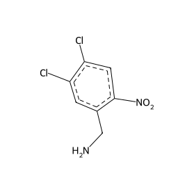 NCc1cc(Cl)c(Cl)cc1[N+](=O)[O-]